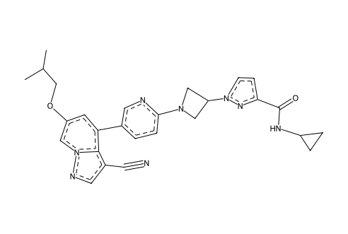 CC(C)COc1cc(-c2ccc(N3CC(n4ccc(C(=O)NC5CC5)n4)C3)nc2)c2c(C#N)cnn2c1